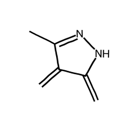 C=c1[nH]nc(C)c1=C